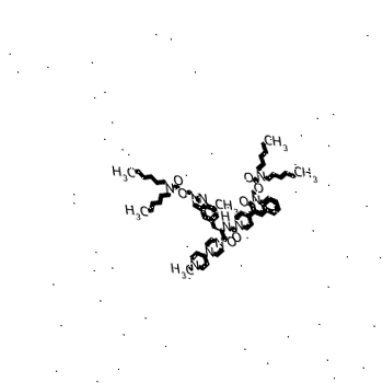 CCCCCCN(CCCCCC)C(=O)OCn1cc2cc(C[C@@H](NC(=O)N3CCC(c4cc5ccccc5n(COC(=O)N(CCCCCC)CCCCCC)c4=O)CC3)C(=O)N3CCN(C4CCN(C)CC4)CC3)cc(C)c2n1